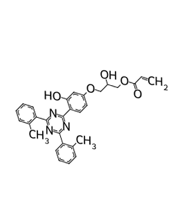 C=CC(=O)OCC(O)COc1ccc(-c2nc(-c3ccccc3C)nc(-c3ccccc3C)n2)c(O)c1